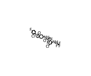 O=C(NC1CCC2(CC1)CCN(c1ccc(F)cc1Cl)C2=O)c1cnc2c(NCCC(F)(F)F)cc(Cl)nn12